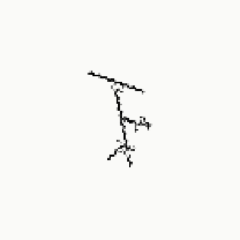 CCCCCCCCC(CCCCCCCC)OC(=O)CCCCCCCN(CCCCCCC(C(=O)OCCCC)C(=O)OCCCC)CCCNC(=O)OC(C)(C)C